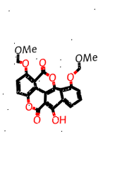 COCOc1ccc2oc(=O)c3c(O)c4cccc(OCOC)c4c4oc(=O)c1c2c34